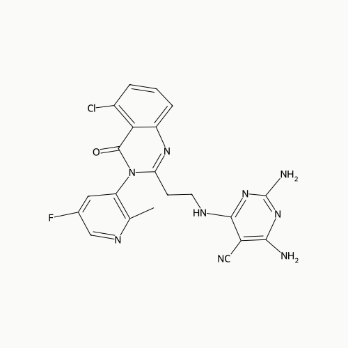 Cc1ncc(F)cc1-n1c(CCNc2nc(N)nc(N)c2C#N)nc2cccc(Cl)c2c1=O